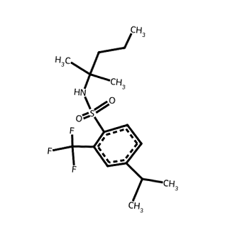 CCCC(C)(C)NS(=O)(=O)c1ccc(C(C)C)cc1C(F)(F)F